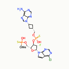 COP(O)(=S)OC[C@H]1O[C@@H](n2ccc3c(Cl)ncnc32)[C@@H](F)[C@@H]1OP(O)(=S)OC[C@H]1C[C@@H](n2cnc3c(N)ncnc32)C1